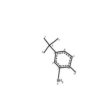 Bc1cc(C(C)(C)C)ccc1C